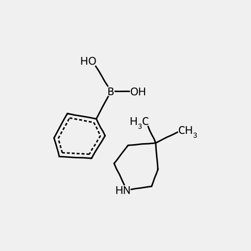 CC1(C)CCNCC1.OB(O)c1ccccc1